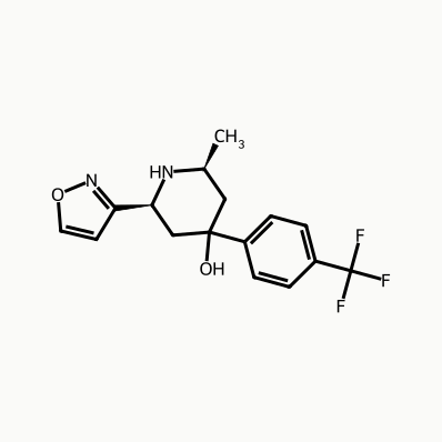 C[C@H]1CC(O)(c2ccc(C(F)(F)F)cc2)C[C@@H](c2ccon2)N1